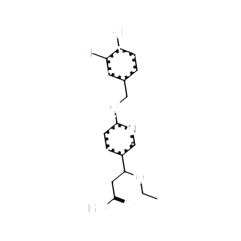 CCOC(CC(=O)O)c1ccc(OCc2ccc(Cl)c(Cl)c2)nc1